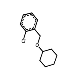 Clc1ccccc1COC1CCCCC1